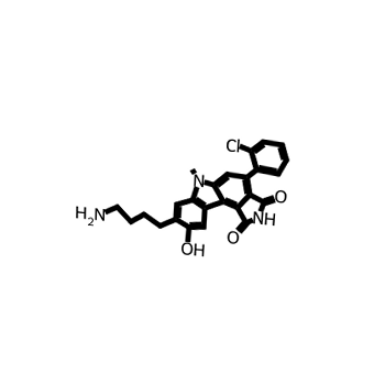 Cn1c2cc(CCCCN)c(O)cc2c2c3c(c(-c4ccccc4Cl)cc21)C(=O)NC3=O